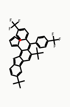 CC(C)(C)c1ccc2c(c1)=c1cc(C(C)(C)C)c(=C(c3ccc(C(F)(F)F)cc3)c3ccc(C(F)(F)F)cc3)c(C3=CC=CC3)c1[C]=2